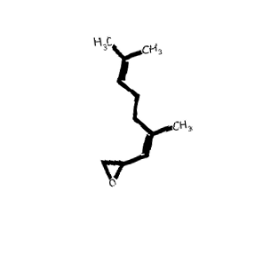 CC(C)=CCC/C(C)=C\C1CO1